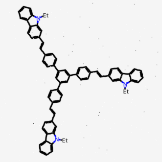 CCn1c2ccccc2c2ccc(/C=C/c3ccc(-c4cc(-c5ccc(/C=C/c6ccc7c8ccccc8n(CC)c7c6)cc5)cc(-c5ccc(/C=C/c6ccc7c8ccccc8n(CC)c7c6)cc5)c4)cc3)cc21